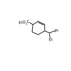 CCOC(=O)C1C=[C]C(C(CC)C(C)C)CC1